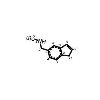 CC(C)(C)NCc1ccc2c(c1)C=CC2